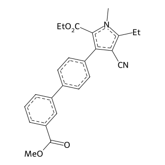 CCOC(=O)c1c(-c2ccc(-c3cccc(C(=O)OC)c3)cc2)c(C#N)c(CC)n1C